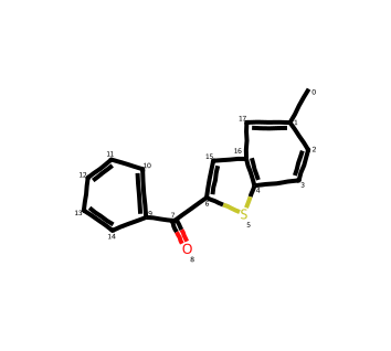 Cc1ccc2sc(C(=O)c3ccccc3)cc2c1